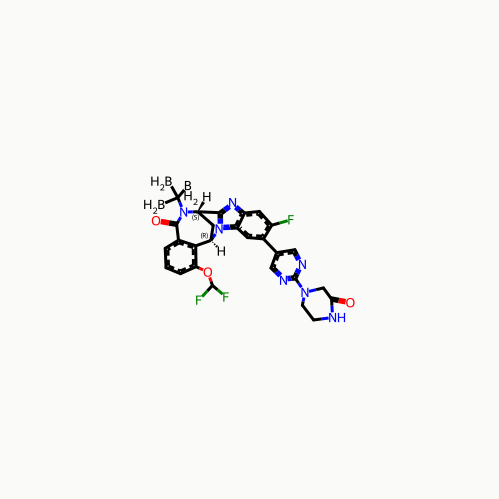 BC(B)(B)N1C(=O)c2cccc(OC(F)F)c2[C@H]2C[C@H]1c1nc3cc(F)c(-c4cnc(N5CCNC(=O)C5)nc4)cc3n12